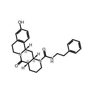 O=C1[C@H]2CCCN(C(=O)NCCc3ccccc3)[C@H]2C[C@H]2c3ccc(O)cc3CCN12